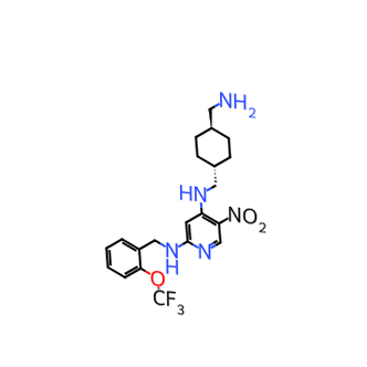 NC[C@H]1CC[C@H](CNc2cc(NCc3ccccc3OC(F)(F)F)ncc2[N+](=O)[O-])CC1